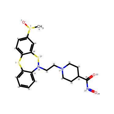 C[S+]([O-])c1ccc2sc3ccccc3n(CCN3CCC(C(=O)N=O)CC3)sc2c1